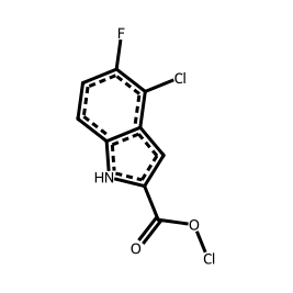 O=C(OCl)c1cc2c(Cl)c(F)ccc2[nH]1